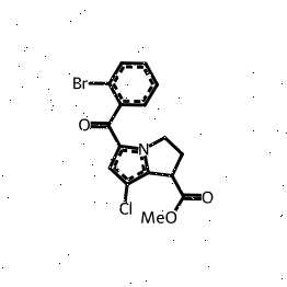 COC(=O)C1CCn2c(C(=O)c3ccccc3Br)cc(Cl)c21